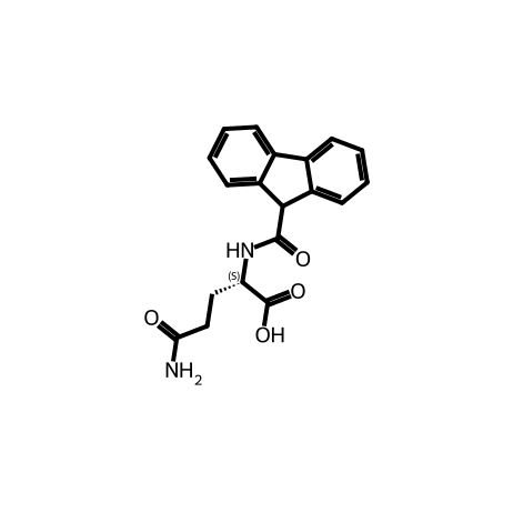 NC(=O)CC[C@H](NC(=O)C1c2ccccc2-c2ccccc21)C(=O)O